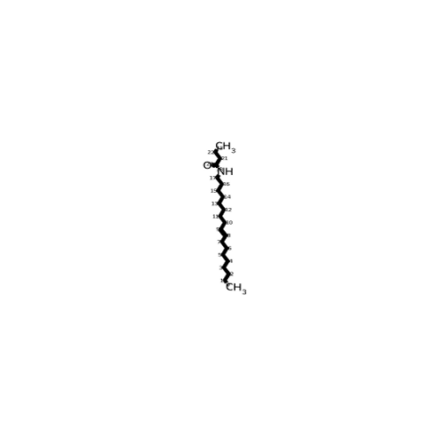 CCCCCCCCC=CCCCCCCCCNC(=O)CCC